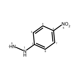 [NH]Nc1ccc([N+](=O)[O-])cc1